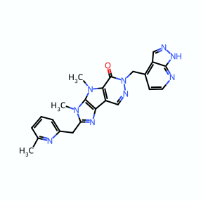 Cc1cccc(Cc2nc3c4cnn(Cc5ccnc6[nH]ncc56)c(=O)c4n(C)c3n2C)n1